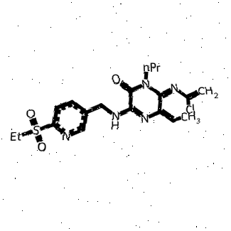 C=C(Cl)/N=C1\C(=C/C)N=C(NCc2ccc(S(=O)(=O)CC)nc2)C(=O)N1CCC